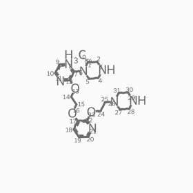 C[C@@H]1CNCCN1c1nccnc1OCCOc1cccnc1OCCN1CCNCC1